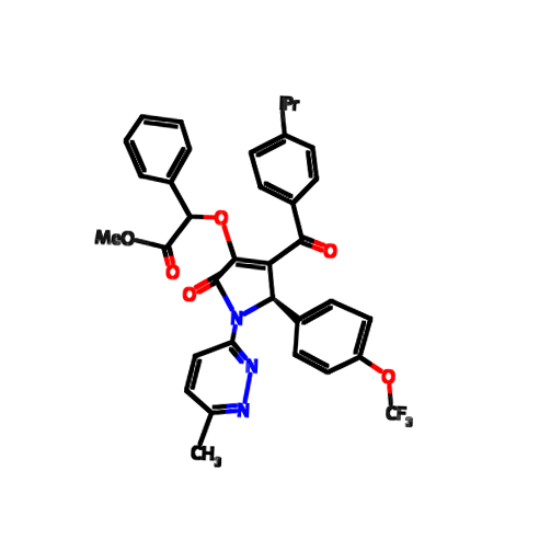 COC(=O)C(OC1=C(C(=O)c2ccc(C(C)C)cc2)[C@@H](c2ccc(OC(F)(F)F)cc2)N(c2ccc(C)nn2)C1=O)c1ccccc1